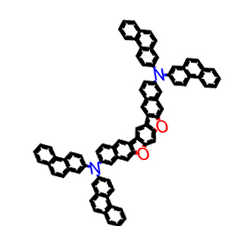 c1ccc2c(c1)ccc1cc(N(c3ccc4cc5c(cc4c3)oc3cc4oc6cc7cc(N(c8ccc9c(ccc%10ccccc%109)c8)c8ccc9c(ccc%10ccccc%109)c8)ccc7cc6c4cc35)c3ccc4c(ccc5ccccc54)c3)ccc12